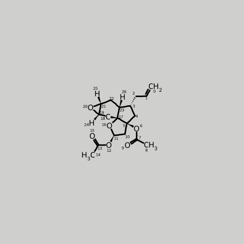 C=CC[C@@H]1C[C@]2(OC(C)=O)C[C@@H](OC(C)=O)O[C@@]23C[C@@H]2O[C@@H]2C[C@H]13